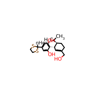 C=C(C)[C@H]1CCC(CO)=C[C@@H]1c1c(O)cc(C2(CCCCCC)SCCS2)cc1O